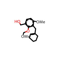 COCOc1c(CO)ccc(OC)c1CC1=CCCCC1